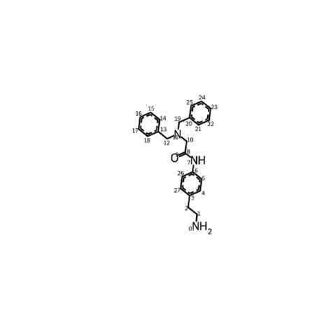 NCCc1ccc(NC(=O)CN(Cc2ccccc2)Cc2ccccc2)cc1